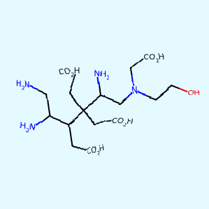 NCC(N)C(CC(=O)O)C(CC(=O)O)(CC(=O)O)C(N)CN(CCO)CC(=O)O